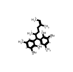 C/C=C(/C)CCC(C)C(c1cc(C)cc(C(C)(C)C)c1O)c1cc(C)cc(C(C)(C)C)c1O